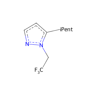 CCCC(C)c1ccnn1CC(F)(F)F